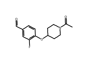 CC(=O)N1CCC(Oc2ccc(C=O)cc2F)CC1